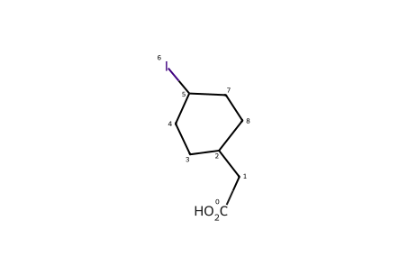 O=C(O)CC1CCC(I)CC1